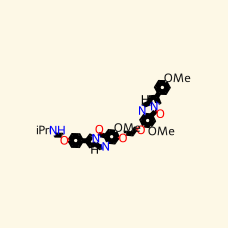 COc1ccc(C2=CN3C(=O)c4cc(OC)c(OCCCOc5cc6c(cc5OC)C(=O)N5C=C(c7ccc(OCCNC(C)C)cc7)C[C@H]5C=N6)cc4N=C[C@@H]3C2)cc1